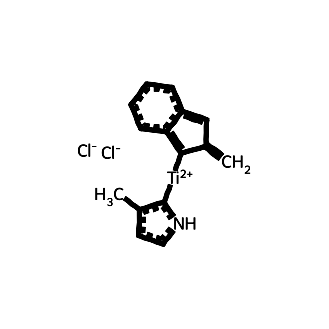 C=C1C=c2ccccc2=[C]1[Ti+2][c]1[nH]ccc1C.[Cl-].[Cl-]